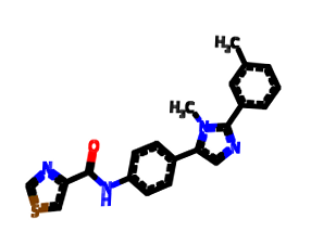 Cc1cccc(-c2ncc(-c3ccc(NC(=O)c4cscn4)cc3)n2C)c1